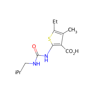 CCc1sc(NC(=O)NCC(C)C)c(C(=O)O)c1C